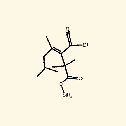 CC(CC(C)C)=C(C(=O)O)C(C)(C)C(=O)O[SiH3]